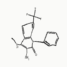 CNc1c(N)c(=O)n(-c2ccccc2)c2cc(C(F)(F)F)ccc12